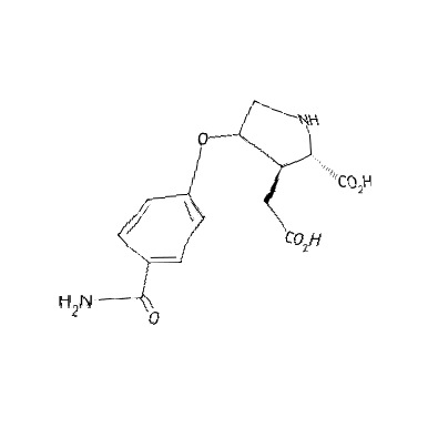 NC(=O)c1ccc(OC2CN[C@H](C(=O)O)[C@H]2CC(=O)O)cc1